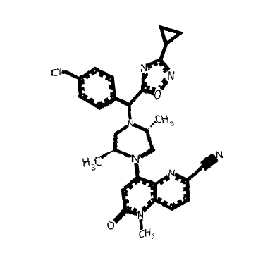 C[C@@H]1CN(c2cc(=O)n(C)c3ccc(C#N)nc23)[C@@H](C)CN1C(c1ccc(Cl)cc1)c1nc(C2CC2)no1